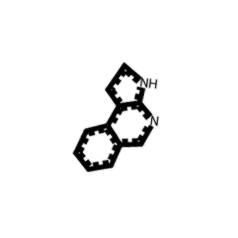 c1ccc2c(c1)cnc1[nH]ccc12